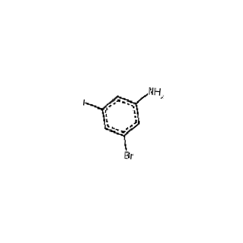 Nc1cc(Br)cc(I)c1